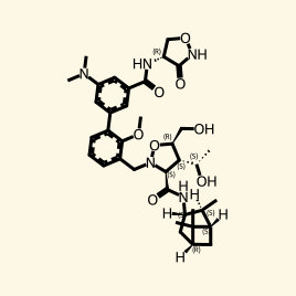 COc1c(CN2O[C@@H](CO)[C@H]([C@H](C)O)[C@H]2C(=O)N[C@H]2C[C@H]3C[C@@H]([C@@H]2C)C3(C)C)cccc1-c1cc(C(=O)N[C@@H]2CONC2=O)cc(N(C)C)c1